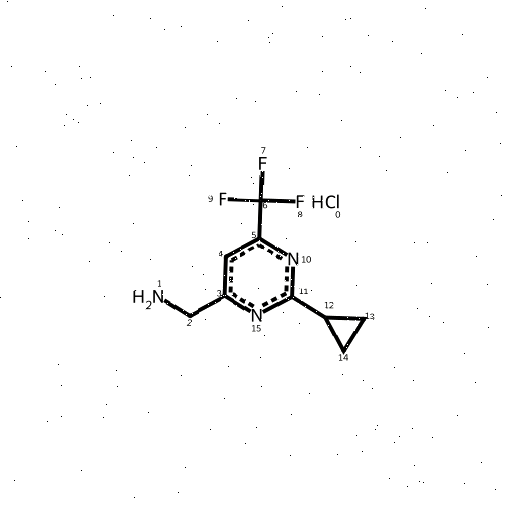 Cl.NCc1cc(C(F)(F)F)nc(C2CC2)n1